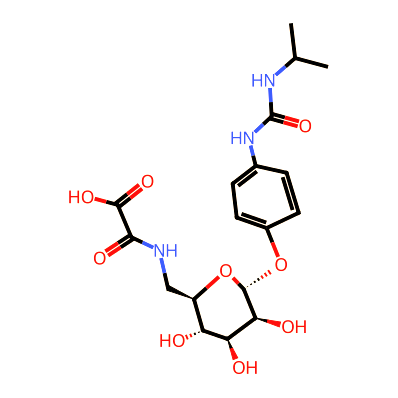 CC(C)NC(=O)Nc1ccc(O[C@H]2O[C@H](CNC(=O)C(=O)O)[C@@H](O)[C@H](O)[C@@H]2O)cc1